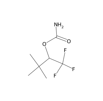 CC(C)(C)C(OC(N)=O)C(F)(F)F